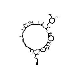 C#CCOC(=O)NC1C[C@@H]2CC[C@@H](C)[C@@](O)(O2)C(=O)C(=O)N2CCCC[C@H]2C(=O)O[C@H]([C@H](C)C[C@@H]2CC[C@@H](O)[C@H](OC)C2)CC(=O)[C@H](C)/C=C(\C)[C@@H](O)[C@@H](OC)C(=O)[C@H](C)C[C@H](C)/C=C/C=C/C=C/1C